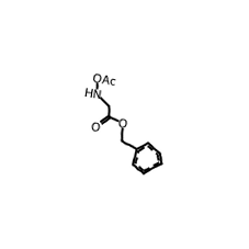 CC(=O)ONCC(=O)OCc1ccccc1